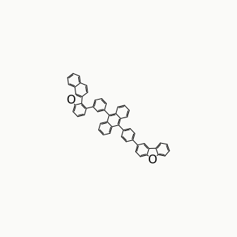 c1cc(-c2c3ccccc3c(-c3ccc(-c4ccc5oc6ccccc6c5c4)cc3)c3ccccc23)cc(-c2cccc3oc4c5ccccc5ccc4c23)c1